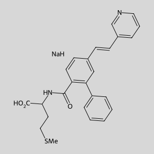 CSCCC(NC(=O)c1ccc(C=Cc2cccnc2)cc1-c1ccccc1)C(=O)O.[NaH]